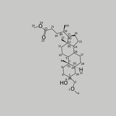 COC[C@@]1(O)CC[C@]2(C)C3CC[C@@]4(C)C(CC[C@@H]4[C@H](C)CCC(=O)OC)C3CC[C@H]2C1